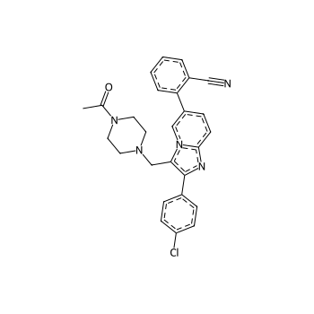 CC(=O)N1CCN(Cc2c(-c3ccc(Cl)cc3)nc3ccc(-c4ccccc4C#N)cn23)CC1